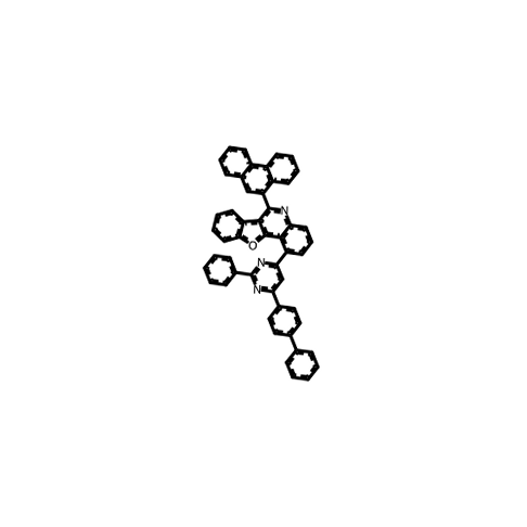 c1ccc(-c2ccc(-c3cc(-c4cccc5nc(-c6cc7ccccc7c7ccccc67)c6c7ccccc7oc6c45)nc(-c4ccccc4)n3)cc2)cc1